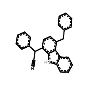 N#CC(c1ccccc1)c1ccc(Cc2ccccc2)c2c1[nH]c1ccccc12